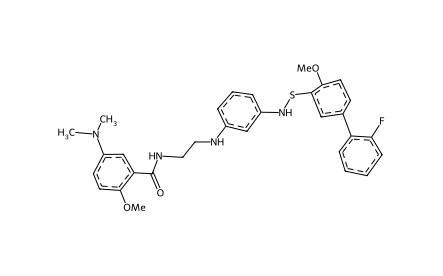 COc1ccc(-c2ccccc2F)cc1SNc1cccc(NCCNC(=O)c2cc(N(C)C)ccc2OC)c1